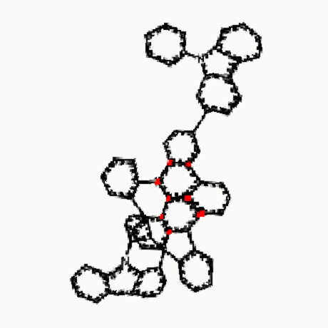 c1ccc(-n2c3ccccc3c3ccc(-c4ccc(N(c5ccc6c(c5)C5(c7ccccc7-6)c6ccccc6-n6c7ccccc7c7cccc5c76)c5ccccc5-c5ccccc5-c5cccc6ccccc56)cc4)cc32)cc1